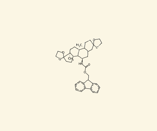 C[C@]12CCC3(CC1C[C@@H](NC(=O)OCC1c4ccccc4-c4ccccc41)C1C2CC[C@@]2(C)C1CCC21OCCO1)OCCO3